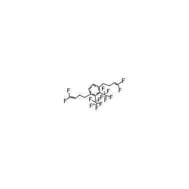 FC(F)=CCCc1ccc(CCC=C(F)F)c(S(F)(F)(F)(F)F)c1S(F)(F)(F)(F)F